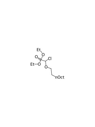 CCCCCCCCCCOC(Cl)P(=O)(OCC)OCC